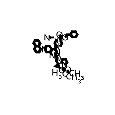 CC(C)(C)OC(=O)N1CCC[C@H]1C1(COc2nc3c(c(N4CCN(C(=O)OCc5ccccc5)[C@@H](CC#N)C4)n2)CCN(c2cccc4ccccc24)C3)CC1